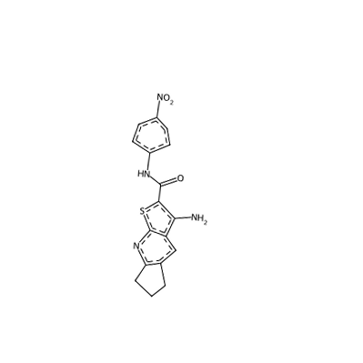 Nc1c(C(=O)Nc2ccc([N+](=O)[O-])cc2)sc2nc3c(cc12)CCC3